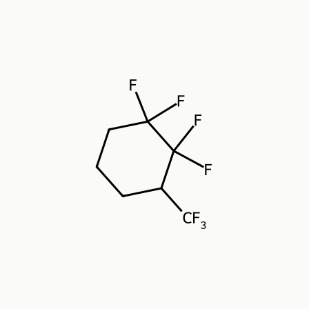 FC(F)(F)C1CCCC(F)(F)C1(F)F